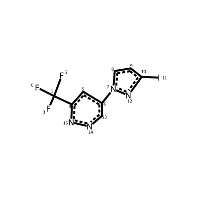 FC(F)(F)c1cc(-n2ccc(I)n2)cnn1